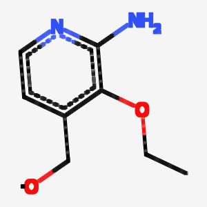 CCOc1c(C[O])ccnc1N